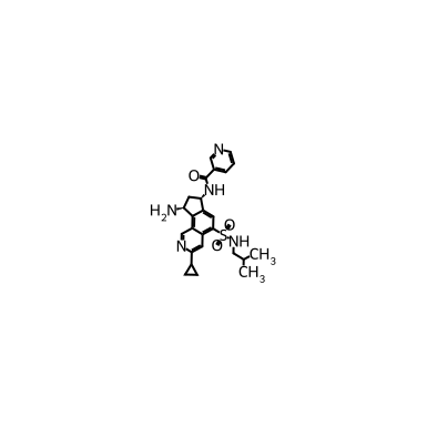 CC(C)CNS(=O)(=O)c1cc2c(c3cnc(C4CC4)cc13)[C@@H](N)C[C@H]2NC(=O)c1cccnc1